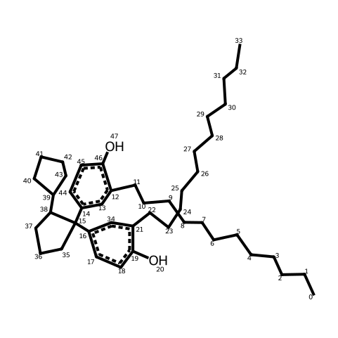 CCCCCCCCCCCCc1cc(C2(c3ccc(O)c(CCCCCCCCCCCC)c3)CCCC2C2CCCC2)ccc1O